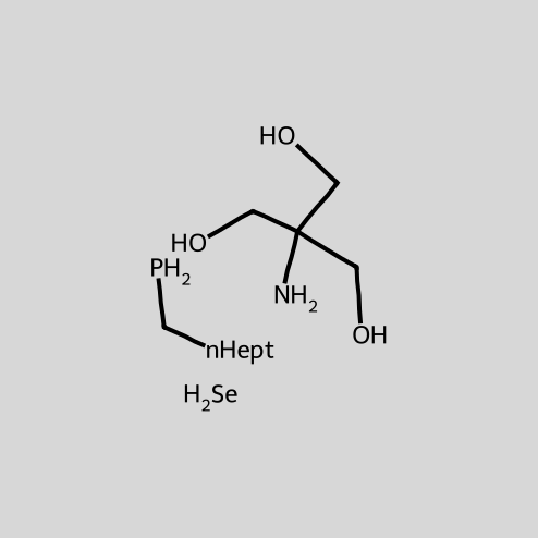 CCCCCCCCP.NC(CO)(CO)CO.[SeH2]